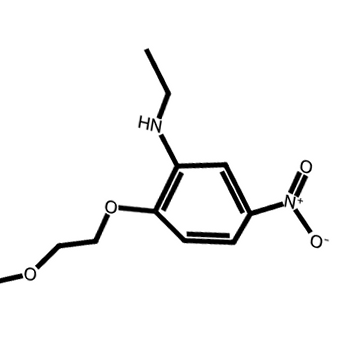 CCNc1cc([N+](=O)[O-])ccc1OCCOC